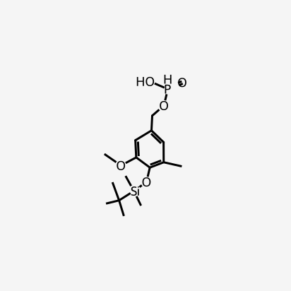 COc1cc(CO[PH](=O)O)cc(C)c1O[Si](C)(C)C(C)(C)C